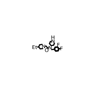 CCC1CCN(CC(=O)N(Cc2ccc(F)c(F)c2)C2CCNCC2)CC1